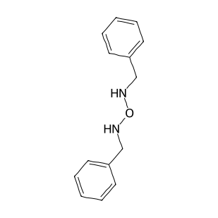 c1ccc(CNONCc2ccccc2)cc1